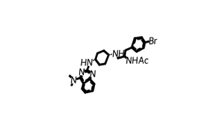 CC(=O)NC(CN[C@H]1CC[C@@H](Nc2nc(N(C)C)c3ccccc3n2)CC1)Cc1ccc(Br)cc1